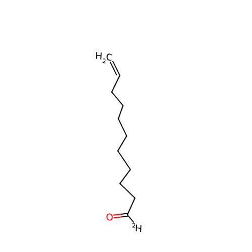 [2H]C(=O)CCCCCCCCC=C